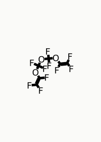 FC(F)=C(F)OC(F)(F)OC(F)(F)OC(F)=C(F)F